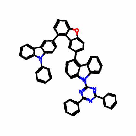 c1ccc(-c2nc(-c3ccccc3)nc(-n3c4ccccc4c4c(-c5ccc6oc7cccc(-c8ccc9c(c8)c8ccccc8n9-c8ccccc8)c7c6c5)cccc43)n2)cc1